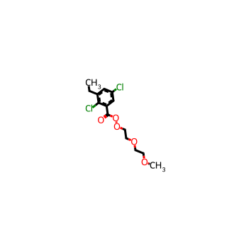 CCc1cc(Cl)cc(C(=O)OOCCOCCOC)c1Cl